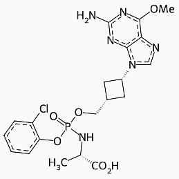 COc1nc(N)nc2c1ncn2[C@H]1C[C@@H](COP(=O)(N[C@@H](C)C(=O)O)Oc2ccccc2Cl)C1